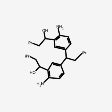 CC(C)CC(O)c1cc(C(CC(C)C)c2ccc(N)c(C(O)CC(C)C)c2)ccc1N